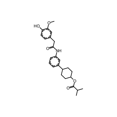 COc1cc(CC(=O)Nc2cccc(C3CCC(OC(=O)C(C)C)CC3)c2)ccc1O